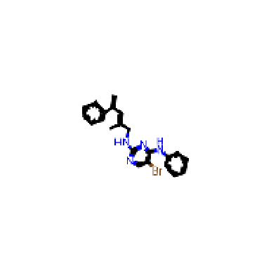 C=C(/C=C(\C)CNc1ncc(Br)c(Nc2ccccc2)n1)c1ccccc1